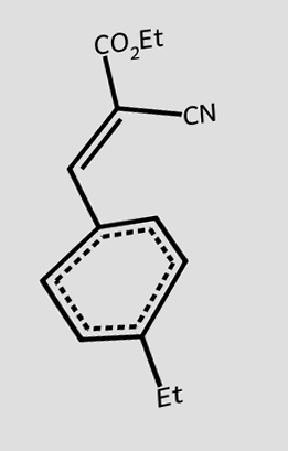 CCOC(=O)/C(C#N)=C/c1ccc(CC)cc1